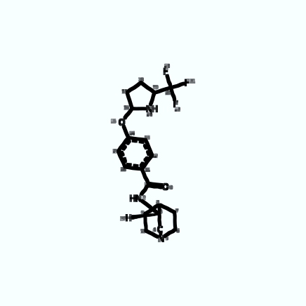 O=C(N[C@H]1CN2CCC1CC2)c1ccc(OC2CCC(C(F)(F)F)N2)cc1